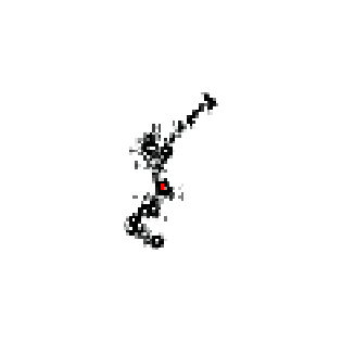 Cc1c(-c2ccc(-c3ccc4nccc(C(=O)Nc5nc6ccccc6s5)c4c3)nc2C(=O)O)cnn1CC12CC3(C)CC(C)(C1)CC(OCCN(C)C(=O)OCc1ccc(OCCOCCNC(=O)CCCCCN4C(=O)C=CC4=O)cc1O[C@@H]1O[C@H](C(=O)O)[C@@H](O)[C@H](O)[C@H]1O)(C3)C2